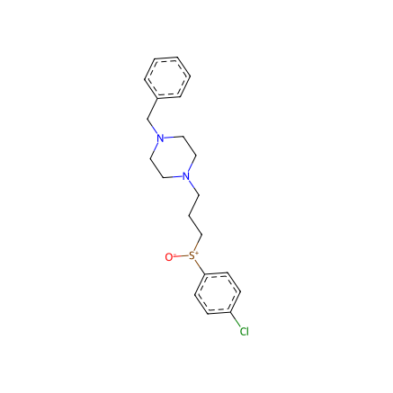 [O-][S+](CCCN1CCN(Cc2ccccc2)CC1)c1ccc(Cl)cc1